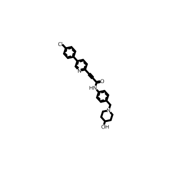 O=C(C#Cc1ccc(-c2ccc(Cl)cc2)cn1)Nc1ccc(CN2CCC(O)CC2)cc1